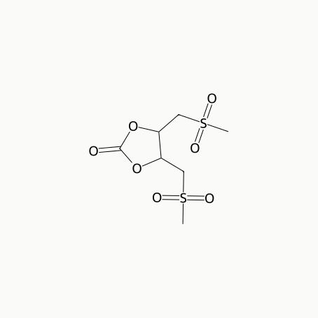 CS(=O)(=O)CC1OC(=O)OC1CS(C)(=O)=O